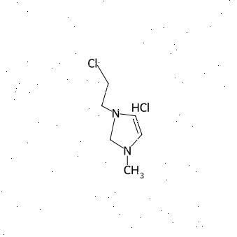 CN1C=CN(CCCl)C1.Cl